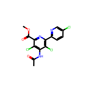 COC(=O)c1nc(-c2ccc(Cl)cn2)c(Cl)c(NC(C)=O)c1Cl